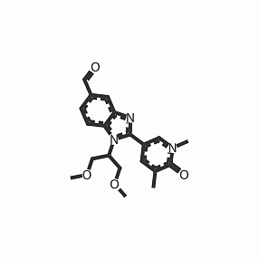 COCC(COC)n1c(-c2cc(C)c(=O)n(C)c2)nc2cc(C=O)ccc21